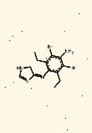 CCc1c(Br)c(N)c(Br)c(CC)c1/N=C1\CNC=N1